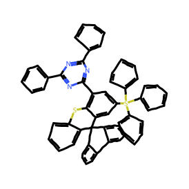 c1ccc(-c2nc(-c3ccccc3)nc(-c3cc(S(c4ccccc4)(c4ccccc4)c4ccccc4)cc4c3Sc3ccccc3C43c4ccccc4-c4ccccc43)n2)cc1